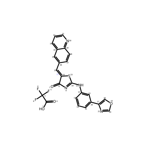 O=C(O)C(F)(F)F.O=C1N=C(Nc2cccc(-c3cocn3)c2)S/C1=C\c1ccc2ncccc2c1